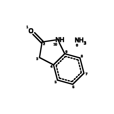 N.O=C1Cc2ccccc2N1